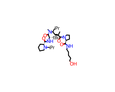 C/C(=C\C(C(C)C)N(C)C(=O)[C@@H](NC(=O)[C@H]1CCCCN1C(C)C)C(C)(C)C)C(=O)N1CCC[C@H]1C(=O)NCCCCCO